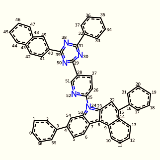 c1ccc(-c2ccc3c4c5ccccc5c(-c5ccccc5)cc4n(-c4ccc(-c5nc(-c6ccccc6)nc(-c6ccc7ccccc7c6)n5)cn4)c3c2)cc1